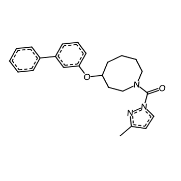 Cc1ccn(C(=O)N2CCCCC(Oc3cccc(-c4ccccc4)c3)CC2)n1